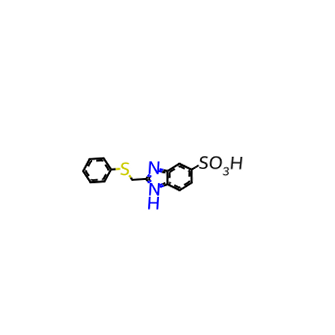 O=S(=O)(O)c1ccc2[nH]c(CSc3ccccc3)nc2c1